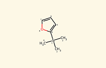 C[Si](C)(C)c1[c]cco1